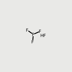 F.FP(F)F